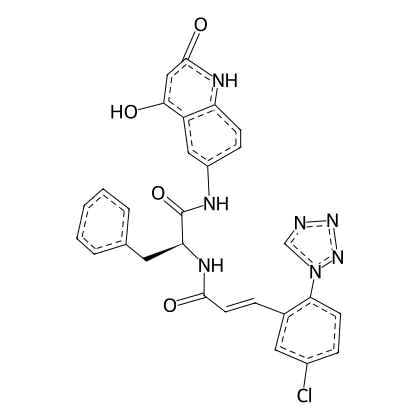 O=C(/C=C/c1cc(Cl)ccc1-n1cnnn1)N[C@@H](Cc1ccccc1)C(=O)Nc1ccc2[nH]c(=O)cc(O)c2c1